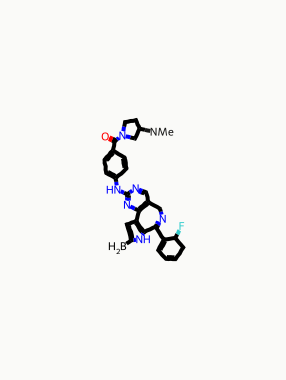 Bc1cc2c([nH]1)C(C1=CC=CCC1F)=NCc1cnc(Nc3ccc(C(=O)N4CCC(NC)C4)cc3)nc1-2